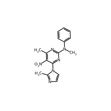 Cc1nc(N(C)c2ccccc2)nc(-n2ccnc2C)c1[N+](=O)[O-]